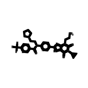 CCCn1c(=O)n(C2CC2)c(=O)c2[nH]c(-c3ccc(N(CCN4CCCC4)C(=O)c4ccc(C(F)(F)F)nc4)nc3)nc21